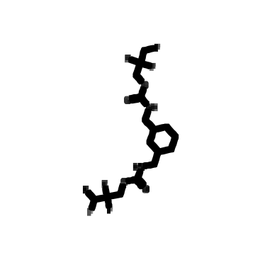 O=C(NCC1CCCC(CNC(=O)OCC(F)(F)C(F)F)C1)OCC(F)(F)CF